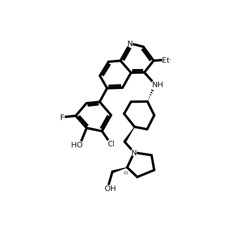 [CH2][CH]c1cnc2ccc(-c3cc(F)c(O)c(Cl)c3)cc2c1N[C@H]1CC[C@H](CN2CCC[C@H]2CO)CC1